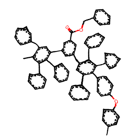 Cc1ccc(Oc2ccc(-c3c(-c4ccccc4)cc(-c4cc(C(=O)OCc5ccccc5)cc(-c5cc(-c6ccccc6)c(C)c(-c6ccccc6)c5-c5ccccc5)c4)c(-c4ccccc4)c3-c3ccccc3)cc2)cc1